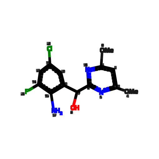 COc1cc(OC)nc(C(O)c2cc(Cl)cc(F)c2N)n1